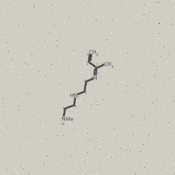 C=C/C(C)=N\CCNCCNC